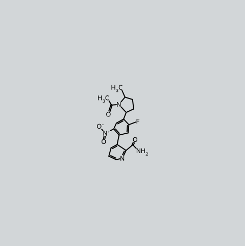 CC(=O)N1C(C)CCC1c1cc([N+](=O)[O-])c(-c2cccnc2C(N)=O)cc1F